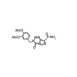 COc1ccc(Cn2nnc3c(C(N)=O)ncn3c2=O)cc1OC